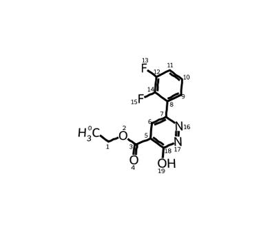 CCOC(=O)c1cc(-c2cccc(F)c2F)nnc1O